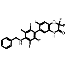 Cc1c(I)c(-c2cc3c(cc2I)OC(F)(F)C(=O)N3)c(F)c(F)c1NCc1ccccc1